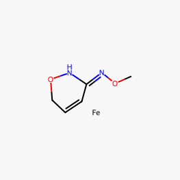 CON=C1C=CCON1.[Fe]